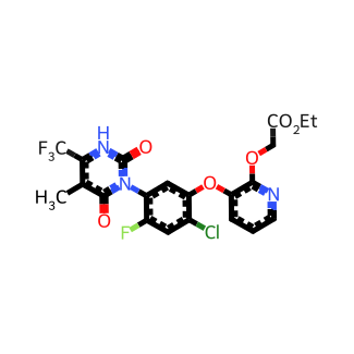 CCOC(=O)COc1ncccc1Oc1cc(-n2c(=O)[nH]c(C(F)(F)F)c(C)c2=O)c(F)cc1Cl